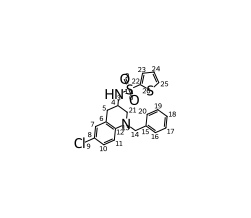 O=S(=O)(NC1Cc2cc(Cl)ccc2N(Cc2ccccc2)C1)c1cccs1